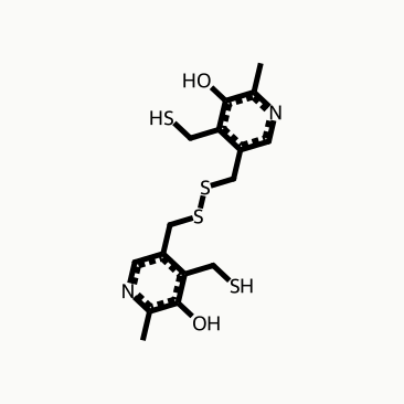 Cc1ncc(CSSCc2cnc(C)c(O)c2CS)c(CS)c1O